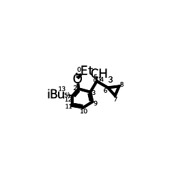 CCOc1c([C@@H](C)C2CC2)cccc1[C@@H](C)CC